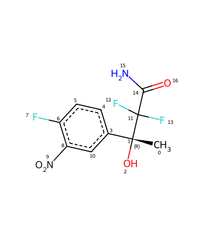 C[C@@](O)(c1ccc(F)c([N+](=O)[O-])c1)C(F)(F)C(N)=O